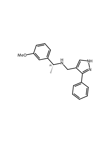 COc1cccc([C@@H](C)NCc2c[nH]nc2-c2ccccc2)c1